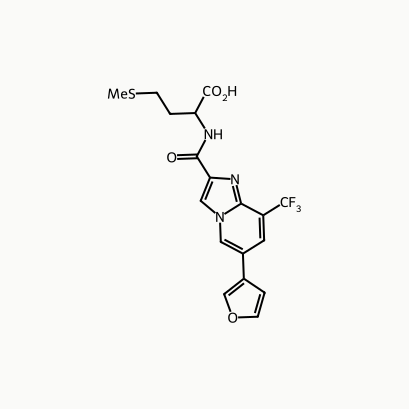 CSCCC(NC(=O)c1cn2cc(-c3ccoc3)cc(C(F)(F)F)c2n1)C(=O)O